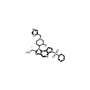 C[C@@H](O)c1nc2cnc3c(ccn3S(=O)(=O)c3ccccc3)c2n1C1CCN(Cc2cnco2)CC1F